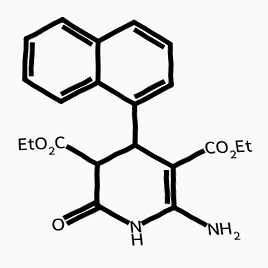 CCOC(=O)C1=C(N)NC(=O)C(C(=O)OCC)C1c1cccc2ccccc12